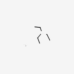 CC[SiH](CC)CC.[Cl-].[Cl-].[Ni+2]